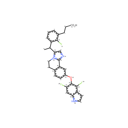 CC(c1cccc(CCC(=O)O)c1F)c1cnc2n1CCc1ccc(Oc3c(F)cc4[nH]ccc4c3F)cc1-2